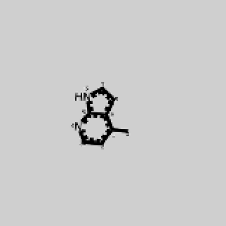 Cc1c[c]nc2[nH]ccc12